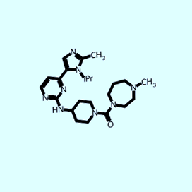 Cc1ncc(-c2ccnc(NC3CCN(C(=O)N4CCCN(C)CC4)CC3)n2)n1C(C)C